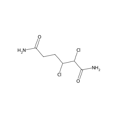 NC(=O)CCC(Cl)C(Cl)C(N)=O